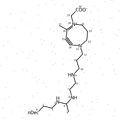 CCCCCCCCCCCCNC(C)NCCNCCCN1C#CC(C)=[N+](CC(=O)[O-])CCC1